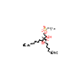 CCCCCCCCCCCCCCCC(=O)C(C)(C(=O)CCCCCCCCCCCCCCC)C(O)COS(=O)(=O)OC